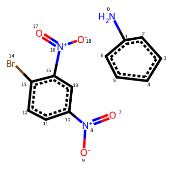 Nc1ccccc1.O=[N+]([O-])c1ccc(Br)c([N+](=O)[O-])c1